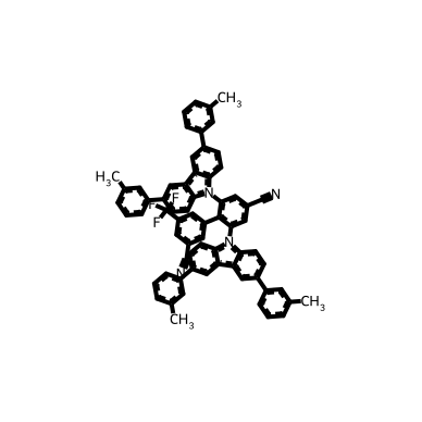 Cc1cccc(-c2ccc3c(c2)c2cc(-c4cccc(C)c4)ccc2n3-c2cc(C#N)cc(-n3c4ccc(-c5cccc(C)c5)cc4c4cc(-c5cccc(C)c5)ccc43)c2-c2cc(C#N)cc(C(F)(F)F)c2)c1